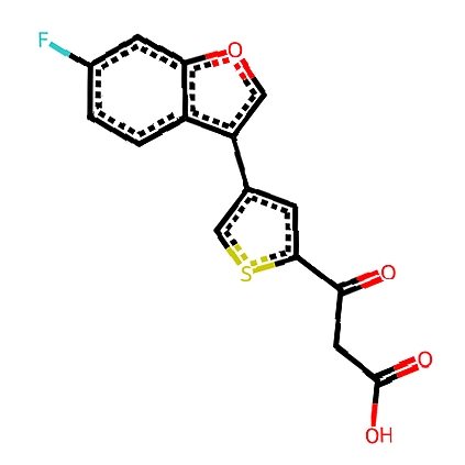 O=C(O)CC(=O)c1cc(-c2coc3cc(F)ccc23)cs1